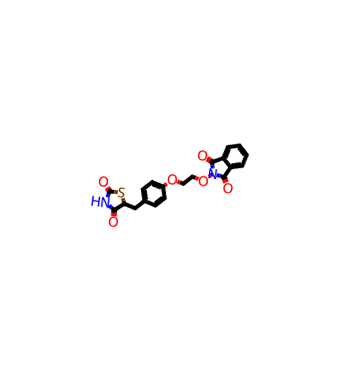 O=C1NC(=O)C(Cc2ccc(OCCON3C(=O)c4ccccc4C3=O)cc2)S1